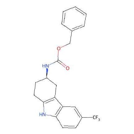 O=C(N[C@@H]1CCc2[nH]c3ccc(C(F)(F)F)cc3c2C1)OCc1ccccc1